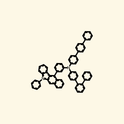 c1ccc(-c2ccc(-c3ccc(N(c4ccc(-c5ccccc5-c5ccccc5)cc4)c4cccc(-c5c6ccccc6cc6c5c5ccccc5n6-c5ccccc5)c4)cc3)cc2)cc1